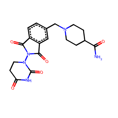 NC(=O)C1CCN(Cc2ccc3c(c2)C(=O)N(N2CCC(=O)NC2=O)C3=O)CC1